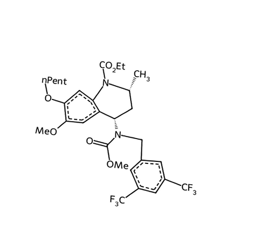 CCCCCOc1cc2c(cc1OC)[C@@H](N(Cc1cc(C(F)(F)F)cc(C(F)(F)F)c1)C(=O)OC)C[C@@H](C)N2C(=O)OCC